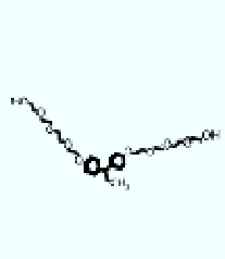 CCC(c1ccc(OCCOCCOCCOCCO)cc1)c1ccc(OCCOCCOCCOCCO)cc1